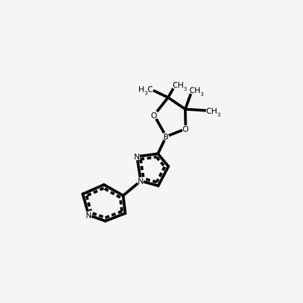 CC1(C)OB(c2ccn(-c3ccncc3)n2)OC1(C)C